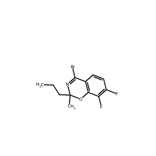 CCCC1(C)N=C(Br)c2ccc(F)c(F)c2O1